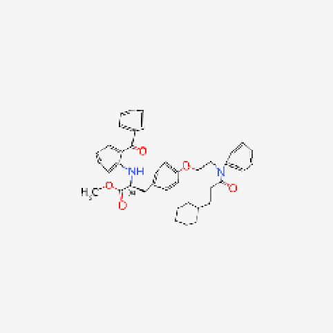 COC(=O)[C@H](Cc1ccc(OCCN(C(=O)CCC2CCCCC2)c2ccccc2)cc1)Nc1ccccc1C(=O)c1ccccc1